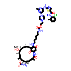 CO[C@H]1/C=C\C=C(/C)C(=O)NC2=CC(=O)C(NCCCCCCNC(=O)OCCN3CCN(c4cc(Nc5ncc(C(=O)Nc6c(C)cccc6Cl)s5)nc(C)n4)CC3)=C(C[C@@H](C)C[C@H](OC)[C@@H](O)[C@@H](C)/C=C(\C)[C@@H]1OC(N)=O)C2=O